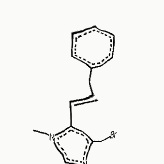 Cn1cnc(Br)c1C=Cc1ccccc1